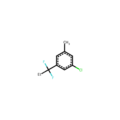 CCC(F)(F)c1cc(C)cc(Cl)c1